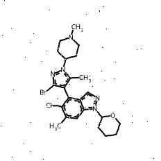 Cc1cc2c(cnn2C2CCCCO2)c(-c2c(Br)nn(C3CCN(C)CC3)c2C)c1Cl